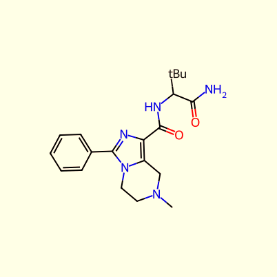 CN1CCn2c(-c3ccccc3)nc(C(=O)NC(C(N)=O)C(C)(C)C)c2C1